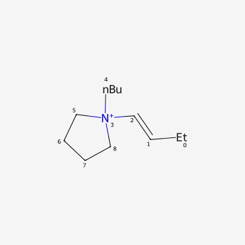 CCC=C[N+]1(CCCC)CCCC1